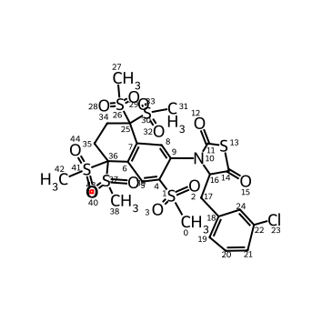 CS(=O)(=O)c1cc2c(cc1N1C(=O)SC(=O)C1Cc1cccc(Cl)c1)C(S(C)(=O)=O)(S(C)(=O)=O)CCC2(S(C)(=O)=O)S(C)(=O)=O